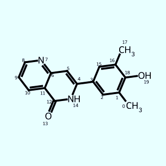 Cc1cc(-c2cc3ncccc3c(=O)[nH]2)cc(C)c1O